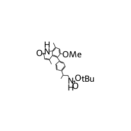 COc1cc(C)c2[nH]c(=O)cc(C)c2c1-c1ccc(C(C)CNC(=O)OC(C)(C)C)cc1